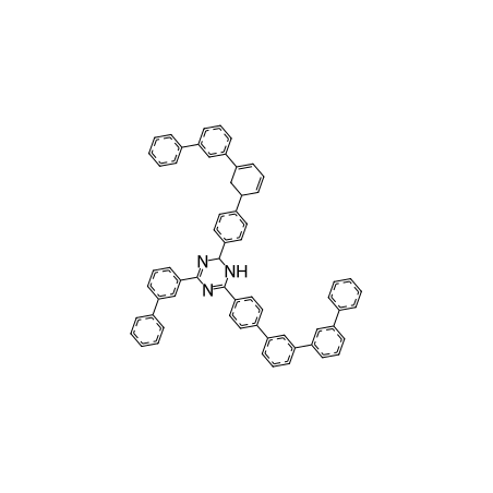 C1=CC(c2ccc(C3N=C(c4cccc(-c5ccccc5)c4)N=C(c4ccc(-c5cccc(-c6cccc(-c7ccccc7)c6)c5)cc4)N3)cc2)CC(c2cccc(-c3ccccc3)c2)=C1